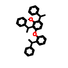 CC(c1ccccc1)c1ccccc1Oc1ccc(C(C)c2ccccc2)c([O])c1C(C)c1ccccc1